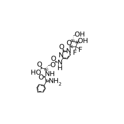 N[C@H](C(=O)N[C@@H](COC(=O)Nc1ccn([C@@H]2O[C@H](CO)[C@@H](O)C2(F)F)c(=O)n1)C(=O)O)c1ccccc1